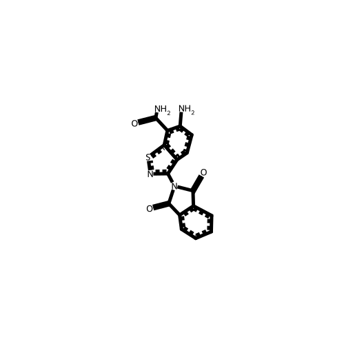 NC(=O)c1c(N)ccc2c(N3C(=O)c4ccccc4C3=O)nsc12